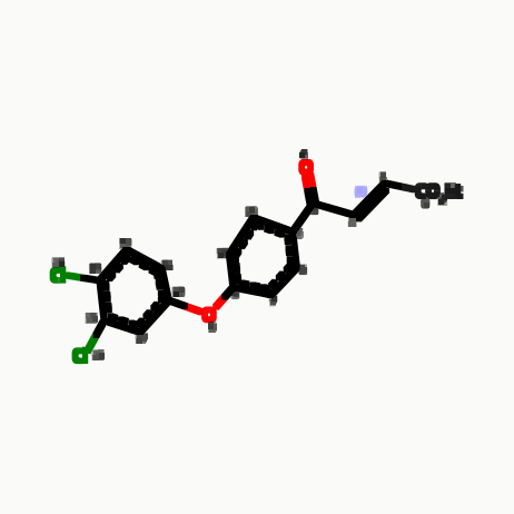 CCOC(=O)/C=C/C(=O)c1ccc(Oc2ccc(Cl)c(Cl)c2)cc1